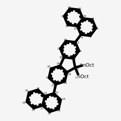 CCCCCCCCC1(CCCCCCCC)c2cc(-c3cccc4ccccc34)ccc2-c2ccc(-c3cccc4ccccc34)cc21